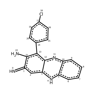 N=c1cc2[nH]c3ccccc3nc-2c(-c2ccc(Cl)cc2)c1N